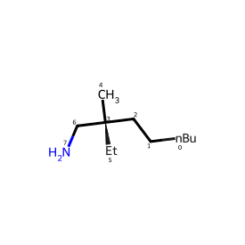 CCCCCC[C@](C)(CC)CN